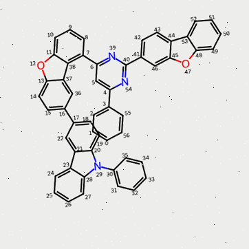 c1ccc(-c2cc(-c3cccc4oc5ccc(-c6ccc7c(c6)c6ccccc6n7-c6ccccc6)cc5c34)nc(-c3ccc4c(c3)oc3ccccc34)n2)cc1